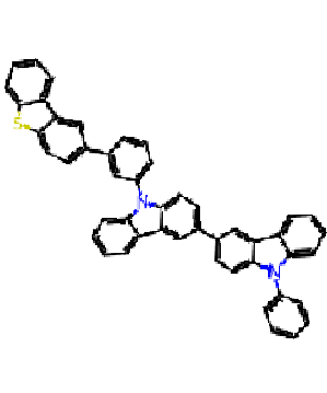 c1ccc(-n2c3ccccc3c3cc(-c4ccc5c(c4)c4ccccc4n5-c4cccc(-c5ccc6sc7ccccc7c6c5)c4)ccc32)cc1